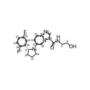 O=C(NCCO)c1cnc2ccc(N3CCC[C@@H]3c3cc(F)ccc3F)cn12